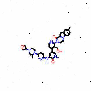 Cc1ccc2c(c1)cc1c(=O)n(-c3nccc(-c4cc(Nc5ccc(N6CCN(C7COC7)C[C@@H]6C)cn5)c(=O)n(C)c4)c3CO)ccn12